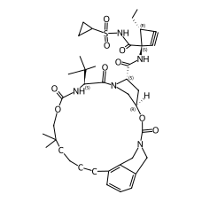 CC[C@@H]1C#C[C@]1(NC(=O)[C@@H]1C[C@@H]2CN1C(=O)[C@H](C(C)(C)C)NC(=O)OCC(C)(C)CCCCc1cccc3c1CN(C3)C(=O)O2)C(=O)NS(=O)(=O)C1CC1